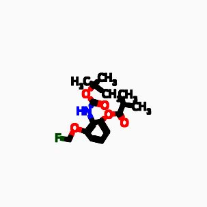 CC(C)C(=O)Oc1cccc(OCF)c1NC(=O)OC(C)(C)C